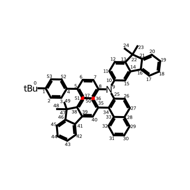 CC(C)(C)c1ccc(-c2ccc(N(c3ccc4c(c3)-c3ccccc3C4(C)C)c3ccc4ccccc4c3-c3ccc4c(c3)-c3ccccc3C4(C)C)cc2)cc1